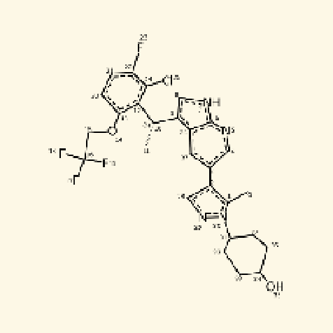 Cc1c(-c2cnc3[nH]cc([C@H](C)c4c(OCC(F)(F)F)ccc(F)c4Cl)c3c2)cnn1C1CCC(O)CC1